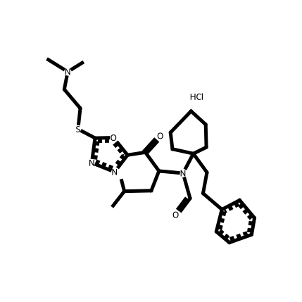 CC(C)CC(C(=O)c1nnc(SCCN(C)C)o1)N(C=O)C1(CCc2ccccc2)CCCCC1.Cl